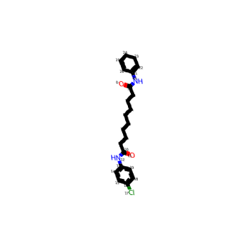 O=C(CCCCCCCCC(=O)Nc1ccc(Cl)cc1)NC1=CC[CH]C=C1